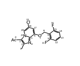 CC(=O)c1c(C)nc2c(OCc3c(F)cccc3F)cc(Cl)cn12